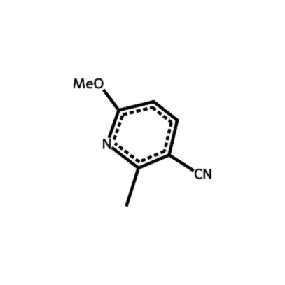 COc1ccc(C#N)c(C)n1